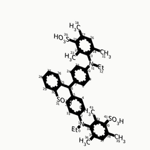 CCN(c1ccc(C(c2ccc(N(CC)c3c(C)cc(C)c(S(=O)(=O)O)c3C)cc2)c2ccccc2S(=O)(=O)O)cc1)c1c(C)cc(C)c(S(=O)(=O)O)c1C